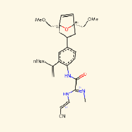 C=C(CCCCCC)c1cc(C2C[C@@]3(COC)C=C[C@@](COC)(C2)O3)ccc1NC(=O)/C(=N/C)N/C=C/C#N